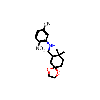 CC1(C)CCC2(CC1CNc1cc(C#N)ccc1[N+](=O)[O-])OCCO2